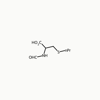 CCCSCC(NC=O)C(=O)O